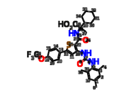 Cc1cc(C)c(NC(=O)Nc2cc(-c3ccc(OC(F)(F)F)cc3)sc2C(=O)N[C@](C)(C(=O)O)C2CCCCC2)c(C)c1